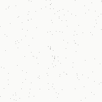 c1ccc(-c2cc(-c3ccccc3)cc(-c3nc(-c4cccc5ccc6c7ccccc7oc6c45)c4ccccc4n3)c2)cc1